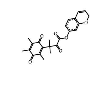 CC1=C(C)C(=O)C(C(C)(C)C(=O)C(=O)Oc2ccc3c(c2)OCC=C3)=C(C)C1=O